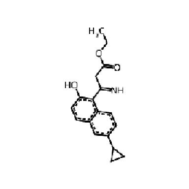 CCOC(=O)CC(=N)c1c(O)ccc2cc(C3CC3)ccc12